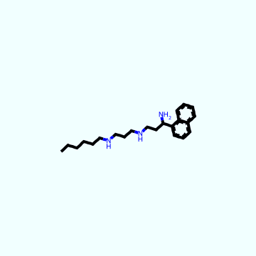 CCCCCCNCCCNCCC(N)c1cccc2ccccc12